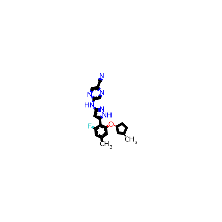 Cc1cc(F)c(-c2cc(Nc3cnc(C#N)cn3)n[nH]2)c(O[C@@H]2CC[C@@H](C)C2)c1